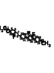 CCOc1ccc(CCC2CCC(c3ccc(C4CCC(CC)CC4)c(F)c3F)CC2)c(F)c1